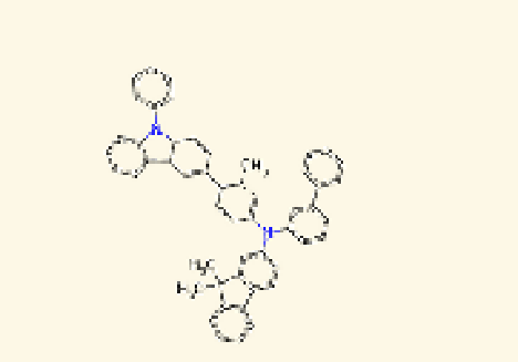 CC1C=C(N(c2cccc(-c3ccccc3)c2)c2ccc3c(c2)C(C)(C)c2ccccc2-3)C=CC1C1=CC2c3ccccc3N(c3ccccc3)C2C=C1